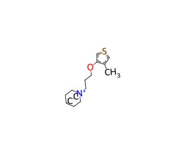 Cc1cscc1OCCC[N+]12CCC(CC1)CC2